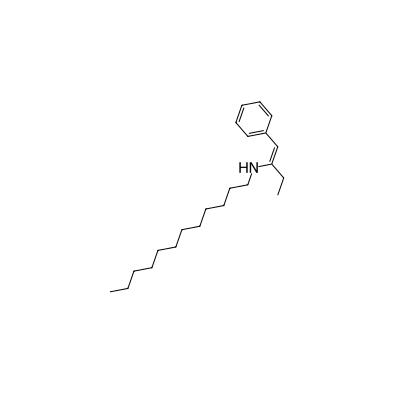 CCCCCCCCCCCCNC(=Cc1ccccc1)CC